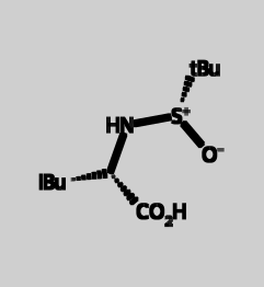 CC[C@@H](C)[C@H](N[S@@+]([O-])C(C)(C)C)C(=O)O